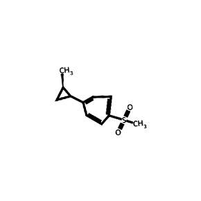 C[C@@H]1CC1c1ccc(S(C)(=O)=O)cc1